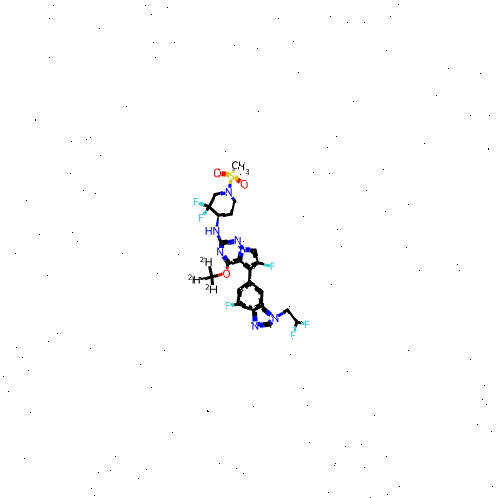 [2H]C([2H])([2H])Oc1nc(N[C@@H]2CCN(S(C)(=O)=O)CC2(F)F)nn2cc(F)c(-c3cc(F)c4ncn(CC(F)F)c4c3)c12